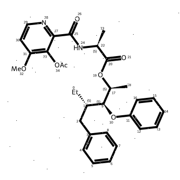 CC[C@@H](Cc1ccccc1)[C@H](Oc1ccccc1)[C@H](C)OC(=O)[C@H](C)NC(=O)c1nccc(OC)c1OC(C)=O